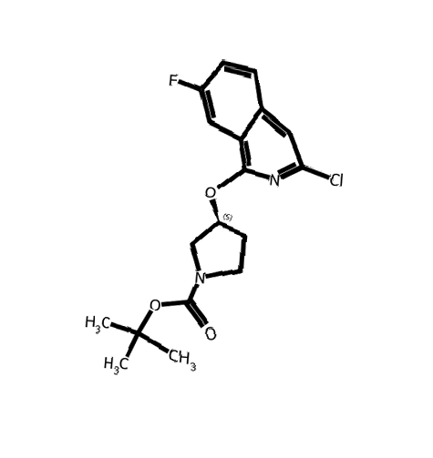 CC(C)(C)OC(=O)N1CC[C@H](Oc2nc(Cl)cc3ccc(F)cc23)C1